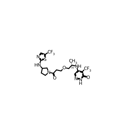 C[C@@H](COCCC(=O)N1CCC(Nc2ncc(C(F)(F)F)s2)C1)Nc1cn[nH]c(=O)c1C(F)(F)F